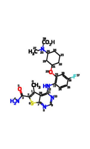 Cc1c(C(N)=O)sc2ncnc(Nc3ccc(F)cc3OC3CCCC(N(C)C(=O)O)C3)c12